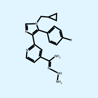 NN/N=C(\N)c1ccnc(-c2ncn(CC3CC3)c2-c2ccc(F)cc2)c1